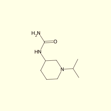 CC(C)N1CCCC(NC(N)=O)C1